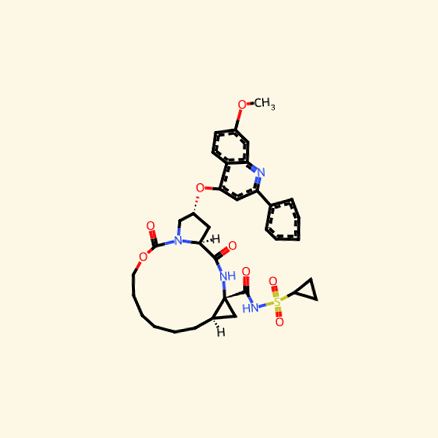 COc1ccc2c(O[C@@H]3C[C@H]4C(=O)N[C@]5(C(=O)NS(=O)(=O)C6CC6)C[C@H]5CCCCCCOC(=O)N4C3)cc(-c3ccccc3)nc2c1